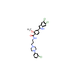 COc1cc(-c2cc3cc(Cl)c(Cl)cc3[nH]2)ccc1C(=O)NCCCN1CCN(c2cccc(Cl)c2)CC1